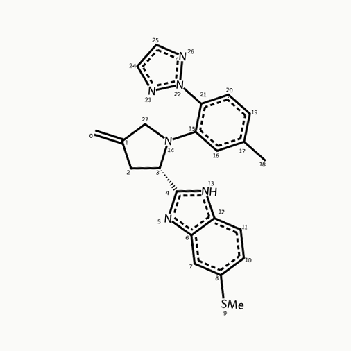 C=C1C[C@@H](c2nc3cc(SC)ccc3[nH]2)N(c2cc(C)c[c]c2-n2nccn2)C1